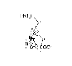 CC(=O)CC(=O)[O-].CC(C)[O-].CC(C)[O-].CCOC(=O)CC(C)=O.[Ti+3]